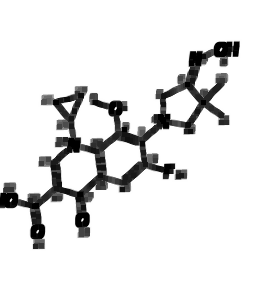 COc1c(N2CC(=NO)C(C)(C)C2)c(F)cc2c(=O)c(C(=O)O)cn(C3CC3)c12